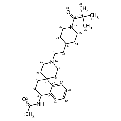 CC(=O)NC1CCC2(CCN(CCC3CCN(C(=O)C(C)(C)C)CC3)CC2)c2ccccc21